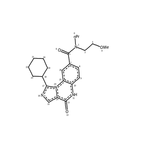 CCCN(CCOC)C(=O)c1ccc2[nH]c(=O)c3cnc(C4CCCCC4)n3c2c1